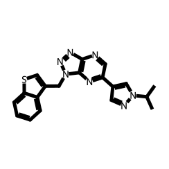 CC(C)n1cc(-c2cnc3nnn(Cc4csc5ccccc45)c3n2)cn1